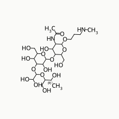 CNCCCOC1OC(CO)C(OC2OC(CO)C(O)C(OC(OC(CO)[C@@H](C)O)C(O)O)C2O)C(O)C1NC(C)=O